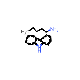 CCCCCN.c1ccc2c(c1)[nH]c1ccccc12